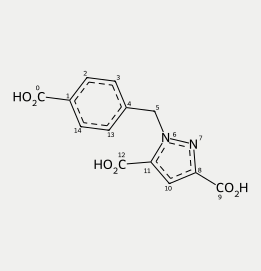 O=C(O)c1ccc(Cn2nc(C(=O)O)cc2C(=O)O)cc1